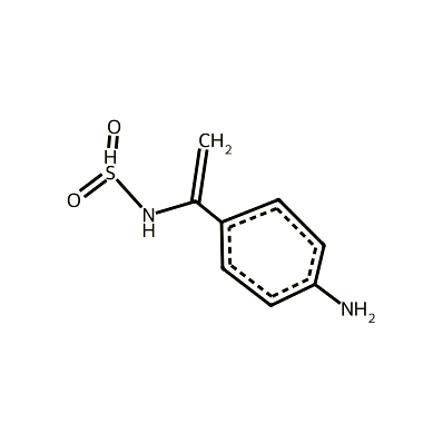 C=C(N[SH](=O)=O)c1ccc(N)cc1